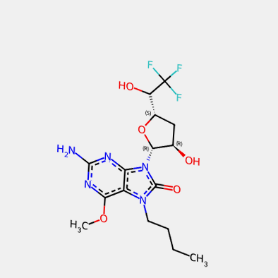 CCCCn1c(=O)n([C@@H]2O[C@H](C(O)C(F)(F)F)C[C@H]2O)c2nc(N)nc(OC)c21